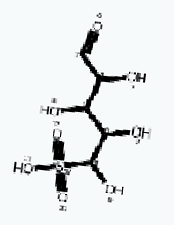 O=CC(O)C(O)C(O)C(O)S(=O)(=O)O